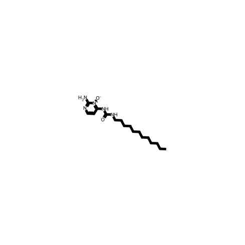 CCCCCCCCCCCCNC(=O)Nc1ccnc(N)[n+]1[O-]